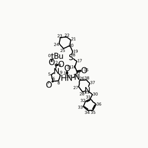 CC(C)(C)OC(=O)N1CC(=O)C[C@H]1C(=O)NN(C(=O)CCSCC1CCCCC1)C1CCN(Cc2ccccc2)CC1